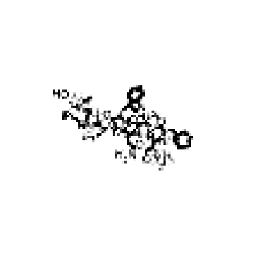 CC(C)C[C@H](NC(=O)[C@H](CC(C)C)NC(=O)[C@H](Cc1c[nH]c2ccccc12)NC(=O)[C@H](CC(N)=O)NC(=O)[C@@H](NC(=O)[C@H](Cc1ccccc1)NC(=O)[C@@H](N)CC(=O)O)C(C)C)C(=O)N[C@@H](C)C(=O)O